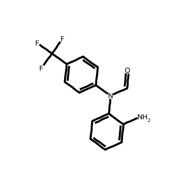 Nc1ccccc1N(C=O)c1ccc(C(F)(F)F)cc1